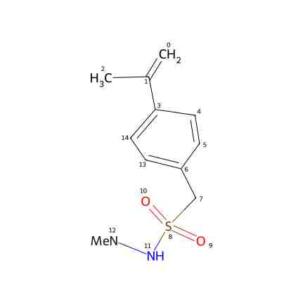 C=C(C)c1ccc(CS(=O)(=O)NNC)cc1